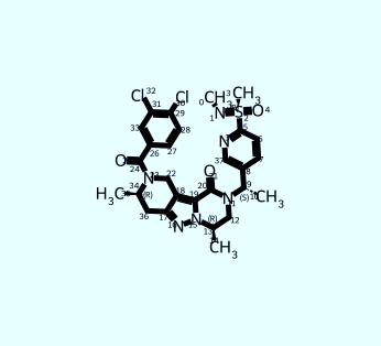 CN=[S@](C)(=O)c1ccc([C@H](C)N2C[C@@H](C)n3nc4c(c3C2=O)CN(C(=O)c2ccc(Cl)c(Cl)c2)[C@H](C)C4)cn1